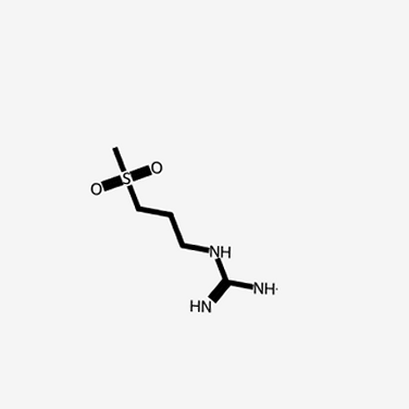 CS(=O)(=O)CCCNC([NH])=N